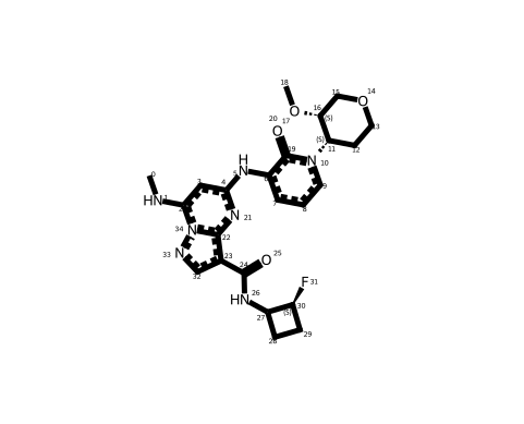 CNc1cc(Nc2cccn([C@H]3CCOC[C@H]3OC)c2=O)nc2c(C(=O)NC3CC[C@@H]3F)cnn12